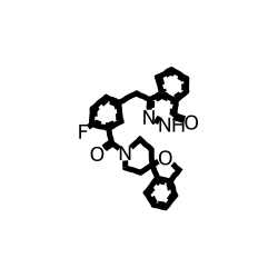 O=C(c1cc(Cc2n[nH]c(=O)c3ccccc23)ccc1F)N1CCC2(CC1)OCc1ccccc12